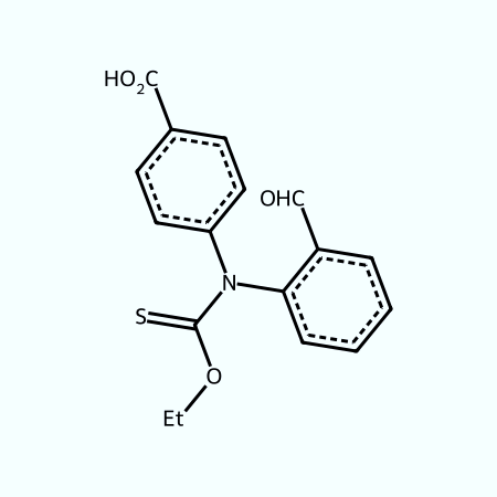 CCOC(=S)N(c1ccc(C(=O)O)cc1)c1ccccc1C=O